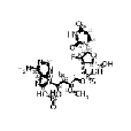 CO[C@H](COP(O)(=S)O[C@H]1[C@@H](F)[C@H](n2ccc(=O)[nH]c2=O)O[C@@H]1CO)[C@@H](F)[C@@H](O[PH](=O)O)n1cnc2c(N)ncnc21